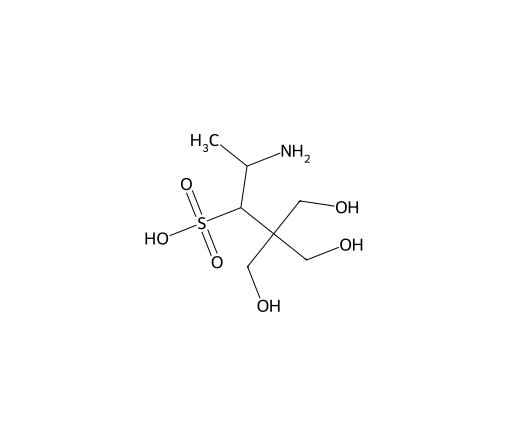 CC(N)C(C(CO)(CO)CO)S(=O)(=O)O